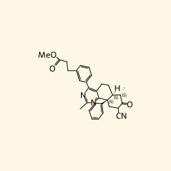 COC(=O)CCc1cccc(-c2nc(C)nc3c2CC[C@H]2[C@H](C)C(=O)C(C#N)C[C@]32c2ccccc2)c1